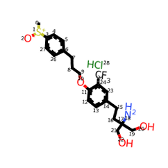 C[S+]([O-])c1ccc(CCCOc2ccc(CCC(N)(CO)CO)cc2C(F)(F)F)cc1.Cl